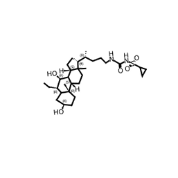 CC[C@@H]1C2C[C@H](O)CC[C@@]2(C)[C@H]2CCC3(C)[C@@H]([C@H](C)CCCNC(=O)NS(=O)(=O)C4CC4)CC[C@H]3C2[C@@H]1O